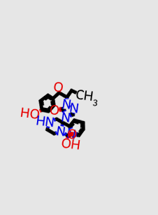 CCC(C(=O)c1ccc(O)cc1)n1ncn(C2(c3ccccn3)CNCCN2C(=O)O)c1=O